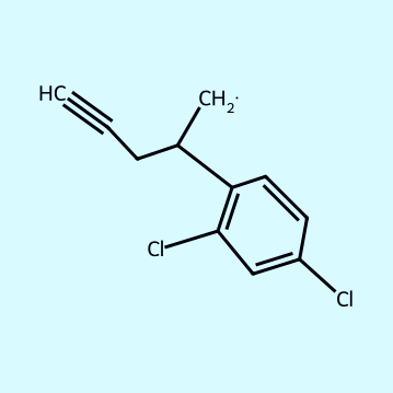 C#CCC([CH2])c1ccc(Cl)cc1Cl